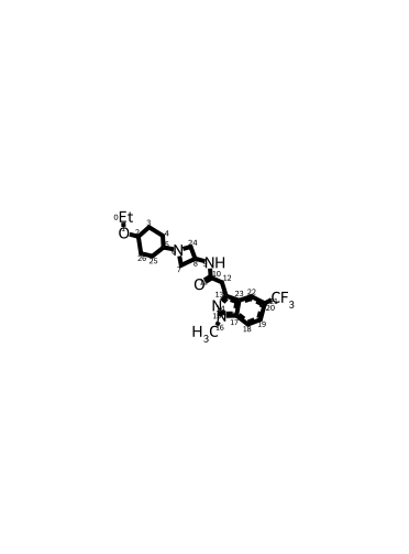 CCOC1CCC(N2CC(NC(=O)Cc3nn(C)c4ccc(C(F)(F)F)cc34)C2)CC1